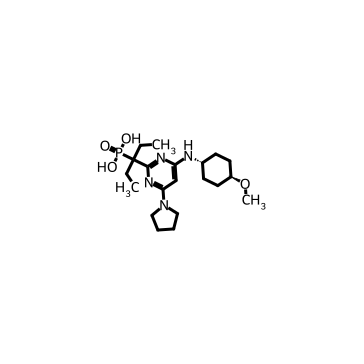 CCC(CC)(c1nc(N[C@H]2CC[C@H](OC)CC2)cc(N2CCCC2)n1)P(=O)(O)O